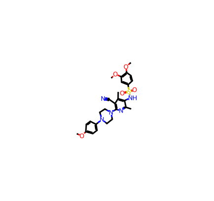 COc1ccc(N2CCN(c3nc(C)c(NS(=O)(=O)c4ccc(OC)c(OC)c4)c(C)c3C#N)CC2)cc1